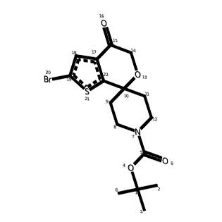 CC(C)(C)OC(=O)N1CCC2(CC1)OCC(=O)c1cc(Br)sc12